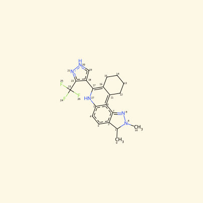 CC1c2ccc3c(c2=NN1C)=C1CCCCC1=C(c1c[nH]nc1C(F)(F)F)N3